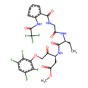 CC[C@H](NC(=O)CNC(=O)c1ccccc1NC(=O)C(F)(F)F)C(=O)N[C@@H](CC(=O)OC)C(=O)COc1c(F)c(F)cc(F)c1F